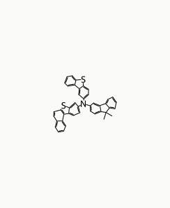 CC1(C)c2ccccc2-c2cc(N(c3ccc4c(c3)sc3ccc5ccccc5c34)c3ccc4sc5ccccc5c4c3)ccc21